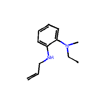 C=CCNc1ccccc1N(C)CC